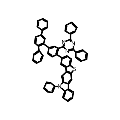 c1ccc(-c2ccc(-c3ccccc3)c(-c3ccc(-c4ccc5sc6cc7c8ccccc8n(-c8ccccc8)c7cc6c5c4)c(-c4nc(-c5ccccc5)nc(-c5ccccc5)n4)c3)c2)cc1